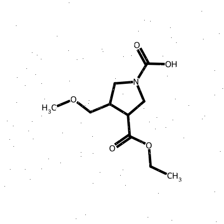 CCOC(=O)C1CN(C(=O)O)CC1COC